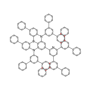 c1ccc(-c2cc(-c3ccccc3)cc(-c3cc(-c4cc(-c5ccccc5)cc(-c5ccccc5)c4)nc(-c4cc5c6c(c4)N(c4cc(-c7ccccc7)cc(-c7ccccc7)c4)c4ccc(-c7ccccc7)cc4B6c4cc(-c6ccccc6)ccc4N5c4cc(-c5ccccc5)cc(-c5ccccc5)c4)c3)c2)cc1